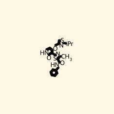 Cc1nc(-c2c(OCc3csc(C(C)C)n3)cc[nH]c2=O)sc1C(=O)NCc1ccccc1